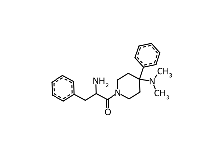 CN(C)C1(c2ccccc2)CCN(C(=O)C(N)Cc2ccccc2)CC1